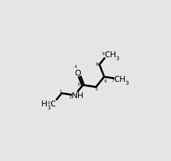 CCNC(=O)CC(C)CC